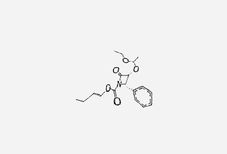 CCCCOC(=O)N1C(=O)[C@H](OC(C)OCC)[C@@H]1c1ccccc1